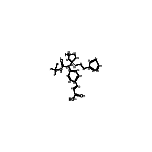 CC(C)(C)OC(=O)N(c1ccc(/C=C/C(=O)O)cn1)[C@]1(CCCc2ccccc2)CCNC1